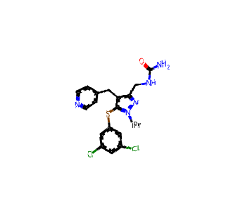 CC(C)n1nc(CNC(N)=O)c(Cc2ccncc2)c1Sc1cc(Cl)cc(Cl)c1